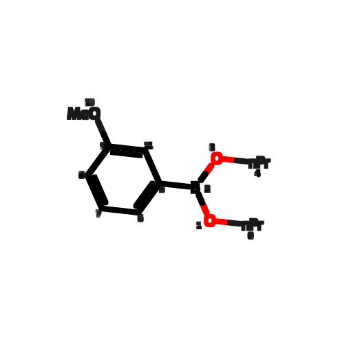 CCCOB(OCCC)c1cccc(OC)c1